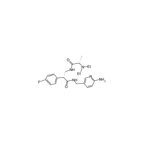 CCN(CC)[C@@H](C)C(=O)NC[C@H](C(=O)NCc1ccc(N)nc1)c1ccc(F)cc1